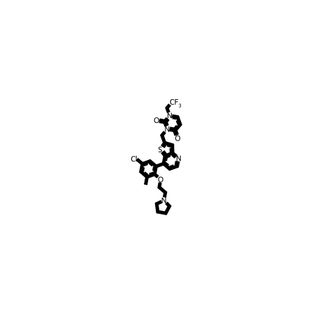 Cc1cc(Cl)cc(-c2ccnc3cc(Cn4c(=O)ccn(CC(F)(F)F)c4=O)sc23)c1OCCN1CCCC1